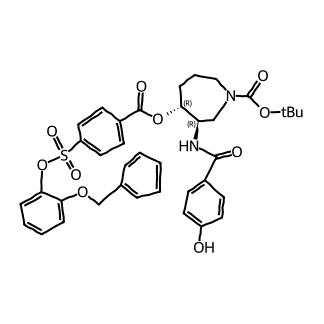 CC(C)(C)OC(=O)N1CCC[C@@H](OC(=O)c2ccc(S(=O)(=O)Oc3ccccc3OCc3ccccc3)cc2)[C@H](NC(=O)c2ccc(O)cc2)C1